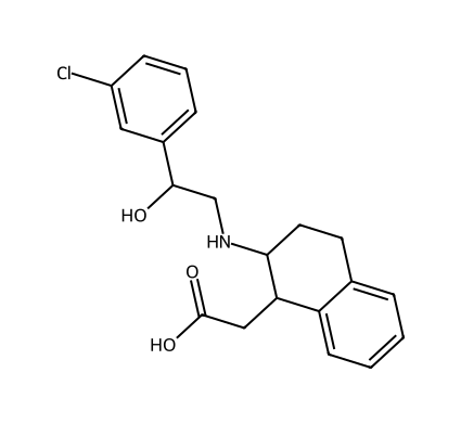 O=C(O)CC1c2ccccc2CCC1NCC(O)c1cccc(Cl)c1